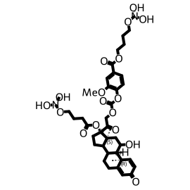 COc1cc(C(=O)OCCCCON(O)O)ccc1OC(=O)OCC(=O)[C@@]1(OC(=O)CCCON(O)O)CCC2C3CCC4=CC(=O)C=C[C@]4(C)[C@H]3C(O)C[C@@]21C